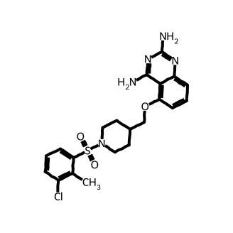 Cc1c(Cl)cccc1S(=O)(=O)N1CCC(COc2cccc3nc(N)nc(N)c23)CC1